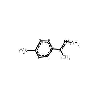 CC(=NN)c1ccc([N+](=O)[O-])cc1